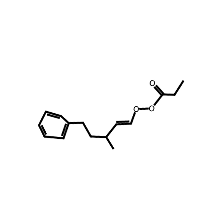 CCC(=O)OOC=CC(C)CCc1ccccc1